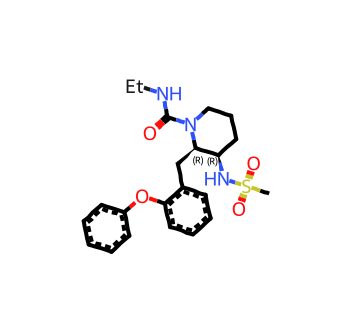 CCNC(=O)N1CCC[C@@H](NS(C)(=O)=O)[C@H]1Cc1ccccc1Oc1ccccc1